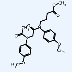 COC(=O)CCCN(C(=O)CN(C(C)=O)c1ccc(OC)cc1)c1ccc(OC)cc1